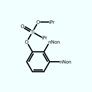 CCCCCCCCCc1cccc([O][Ti](=[O])([O]C(C)C)[CH](C)C)c1CCCCCCCCC